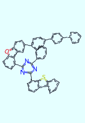 c1ccc(-c2ccc(-c3ccc(-c4ccc5oc6cccc(-c7nc(-c8ccccc8)nc(-c8cccc9c8sc8ccccc89)n7)c6c5c4)cc3)cc2)cc1